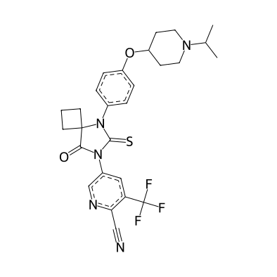 CC(C)N1CCC(Oc2ccc(N3C(=S)N(c4cnc(C#N)c(C(F)(F)F)c4)C(=O)C34CCC4)cc2)CC1